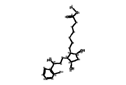 CC(C)OC(=O)CCCCCC[C@@H]1C(CCC(O)c2ccncc2F)[C@H](O)C[C@@H]1O